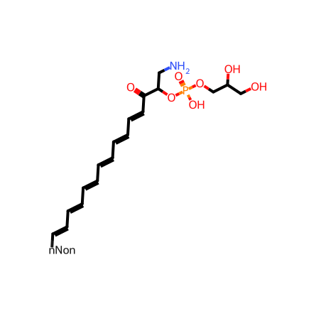 CCCCCCCCCC=CC=CC=CC=CC=CC=CC(=O)C(CN)OP(=O)(O)OCC(O)CO